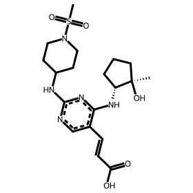 C[C@@]1(O)CCC[C@H]1Nc1nc(NC2CCN(S(C)(=O)=O)CC2)ncc1C=CC(=O)O